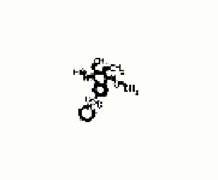 BCO/N=C1C(C=C)=C(C=C)/C(=N\O)c2cc(S(=O)(=O)N3CCCCCC3)ccc2/1